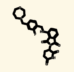 O=C1CCC(N2C(=O)c3cccc(NCc4ccc(CN5CCCOCC5)cc4F)c3C2=O)C(=O)N1